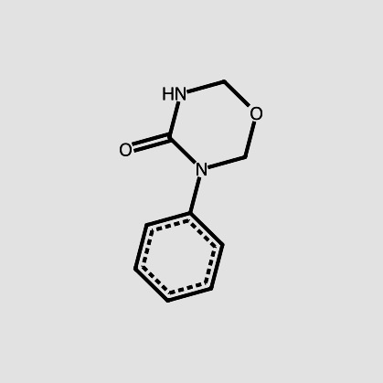 O=C1NCOCN1c1ccccc1